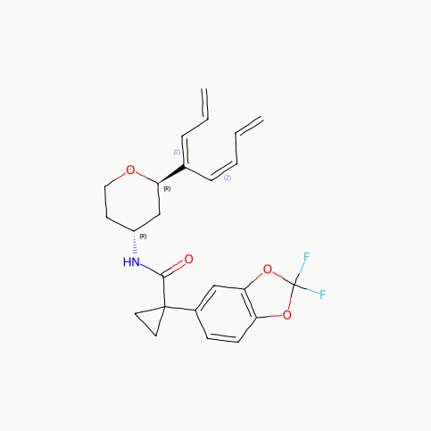 C=C/C=C\C(=C/C=C)[C@H]1C[C@H](NC(=O)C2(c3ccc4c(c3)OC(F)(F)O4)CC2)CCO1